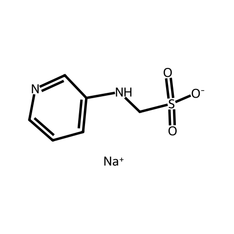 O=S(=O)([O-])CNc1cccnc1.[Na+]